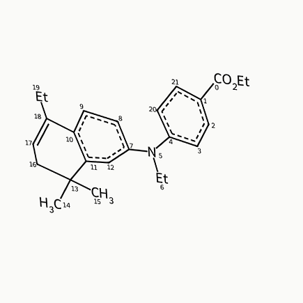 CCOC(=O)c1ccc(N(CC)c2ccc3c(c2)C(C)(C)CC=C3CC)cc1